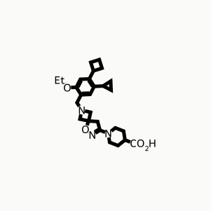 CCOc1cc(C2CCC2)c(C2CC2)cc1CN1CC2(CC(N3CCC(C(=O)O)CC3)=NO2)C1